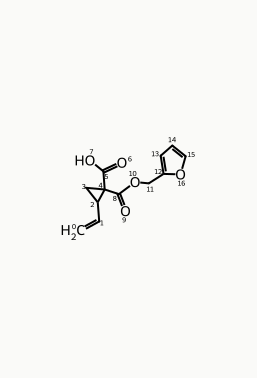 C=CC1CC1(C(=O)O)C(=O)OCc1ccco1